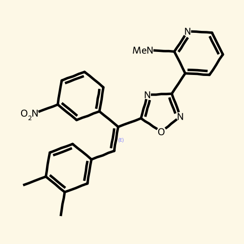 CNc1ncccc1-c1noc(/C(=C/c2ccc(C)c(C)c2)c2cccc([N+](=O)[O-])c2)n1